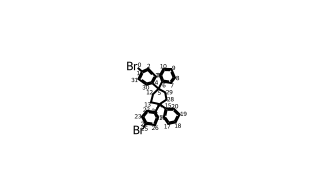 Brc1ccc(C2(c3ccccc3)CCC(c3ccccc3)(c3ccc(Br)cc3)CC2)cc1